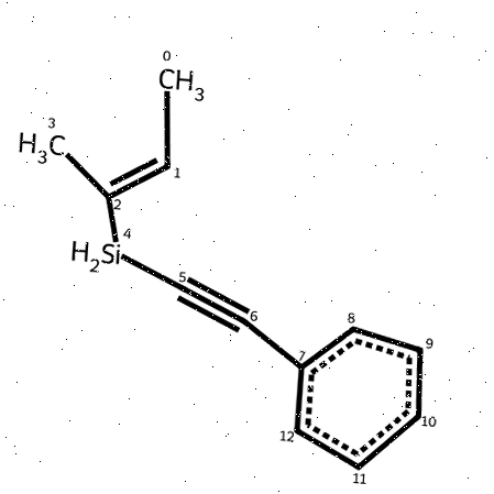 CC=C(C)[SiH2]C#Cc1ccccc1